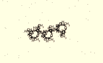 CNc1cc2nn3c(cnc13)C(=O)N[C@H](C)COCc1cc(c3nn(C)cc3c1CNc1cc3nc4c(cnn14)C(=O)N[C@H](C)COCc1cc(c(OC)cc1CNc1cc4nc5c(cnn15)C(=O)N[C@H](C)COCc1cnc(OC)c(c1)N4)N3)N2